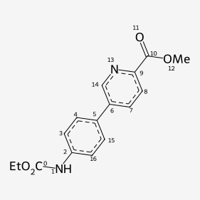 CCOC(=O)Nc1ccc(-c2ccc(C(=O)OC)nc2)cc1